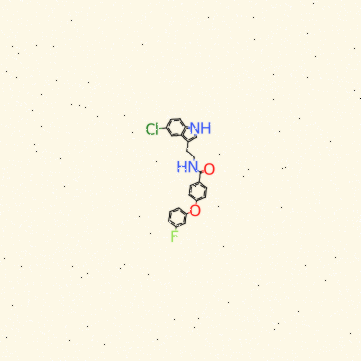 O=C(NCCc1c[nH]c2ccc(Cl)cc12)c1ccc(Oc2cccc(F)c2)cc1